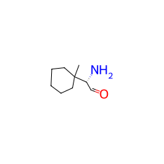 CC1([C@H](N)C=O)CCCCC1